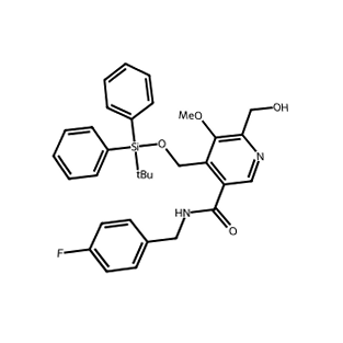 COc1c(CO)ncc(C(=O)NCc2ccc(F)cc2)c1CO[Si](c1ccccc1)(c1ccccc1)C(C)(C)C